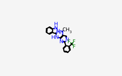 CNc1cnc(-c2ccccc2C(F)(F)F)nc1Nc1n[nH]c2ccccc12